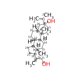 C=C(C)[C@@]1(O)CC[C@@]2(C)[C@H](CC[C@@H]3[C@@H]2CC[C@]2(C)[C@@H]([C@H](C)CO)CC[C@@H]32)C1